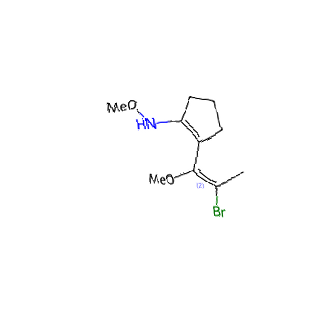 CONC1=C(/C(OC)=C(\C)Br)CCC1